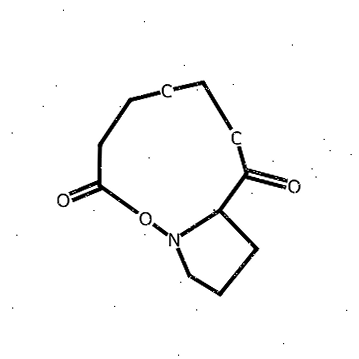 O=C1CCCCCC(=O)[C]2CCCN2O1